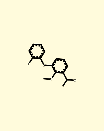 COc1c(Sc2ccccc2F)cccc1C(C)Cl